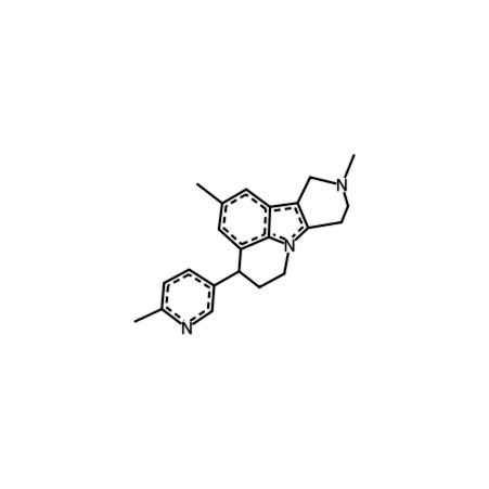 Cc1cc2c3c(c1)c1c(n3CCC2c2ccc(C)nc2)CCN(C)C1